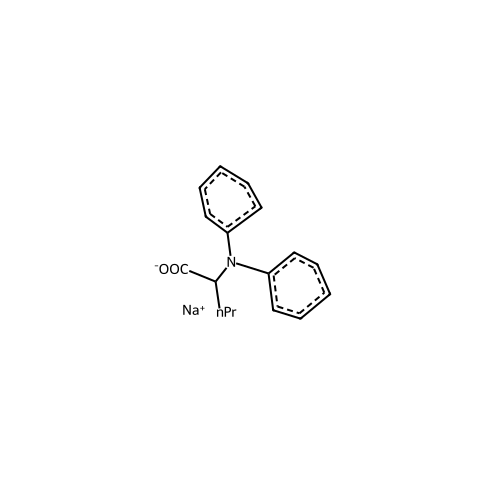 CCCC(C(=O)[O-])N(c1ccccc1)c1ccccc1.[Na+]